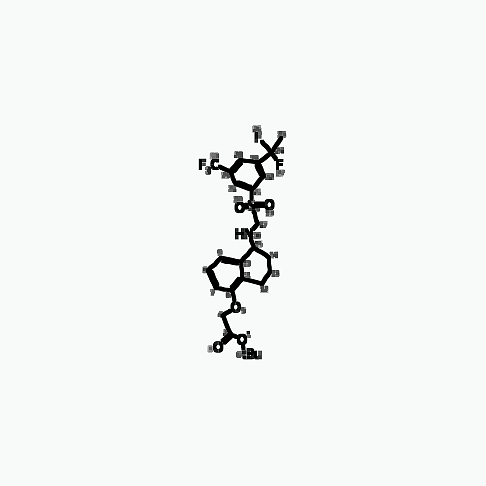 CC(C)(C)OC(=O)COc1cccc2c1CCCC2NCS(=O)(=O)c1cc(C(C)(F)F)cc(C(F)(F)F)c1